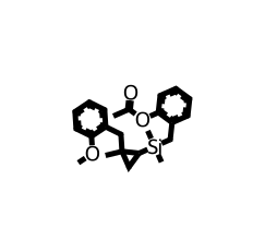 COc1ccccc1CC1(C)CC1[Si](C)(C)Cc1ccccc1OC(C)=O